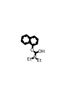 CCN(CC)C(O)Oc1cccc2ccccc12